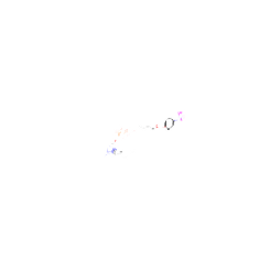 C[N+](C)(C)CCOP(=O)(O)OCCCCCC(=O)Oc1ccc([N+](=O)O)cc1